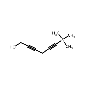 CS(C)(C)C#CCC#CCO